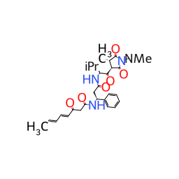 C/C=C/C=C/C(=O)CC(=O)N[C@@H](CC(=O)N[C@H](C(=O)[C@@H]1C(=O)N(NC)C(=O)[C@H]1C)C(C)C)c1ccccc1